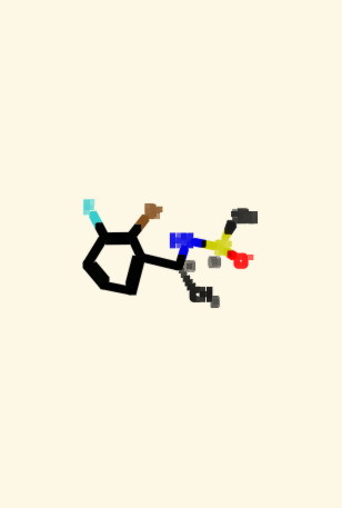 C[C@@H](N[S@+]([O-])C(C)(C)C)c1cccc(F)c1Br